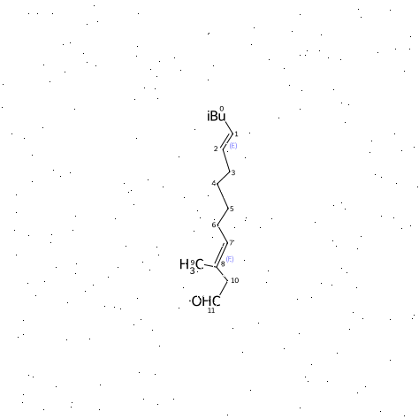 CCC(C)/C=C/CCCC/C=C(\C)C[C]=O